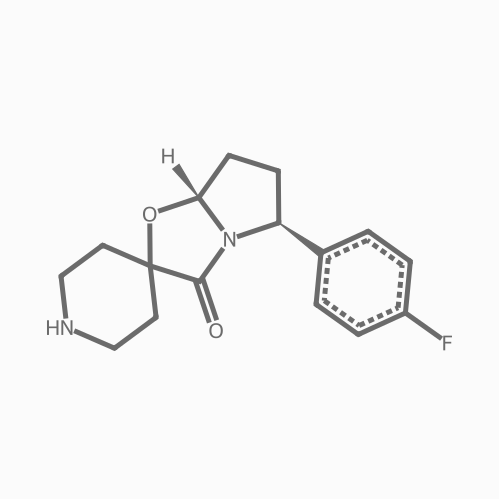 O=C1N2[C@@H](CC[C@H]2c2ccc(F)cc2)OC12CCNCC2